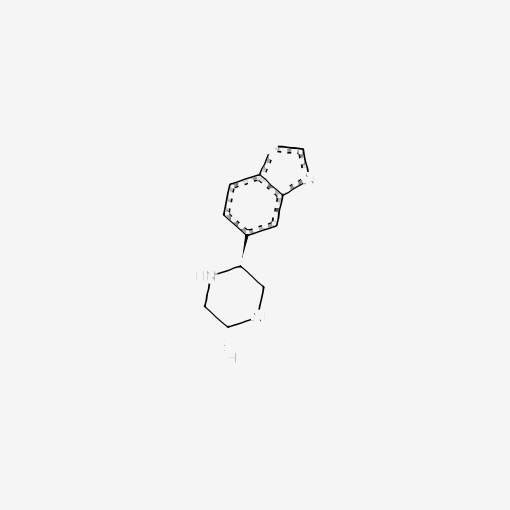 C[C@@H]1CN[C@@H](c2ccc3scnc3c2)CN1